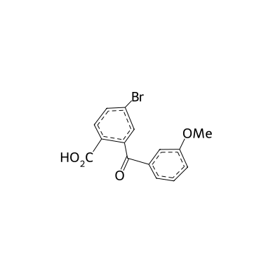 COc1cccc(C(=O)c2cc(Br)ccc2C(=O)O)c1